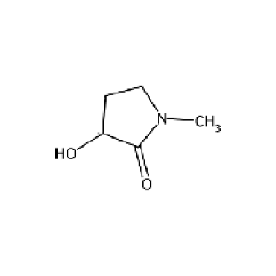 CN1CC[C](O)C1=O